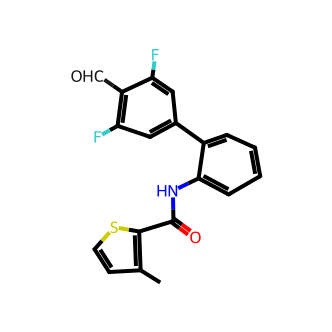 Cc1ccsc1C(=O)Nc1ccccc1-c1cc(F)c(C=O)c(F)c1